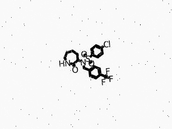 O=C1NCCCCC1N(Cc1ccc(C(F)(F)F)cc1)S(=O)(=O)c1ccc(Cl)cc1